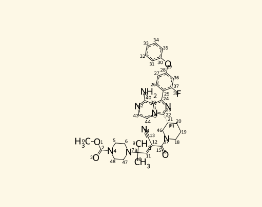 COC(=O)N1CCN(C(C)(C)C=C(C#N)C(=O)N2CCC[C@@H](c3nc(-c4ccc(Oc5ccccc5)cc4F)c4c(N)nccn34)C2)CC1